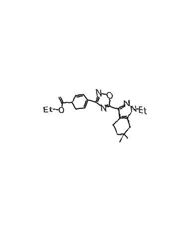 C=C(OCC)C1C=CC(c2noc(-c3nn(CC)c4c3CCC(C)(C)C4)n2)=CC1